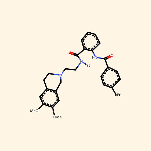 CCCc1ccc(C(=O)Nc2ccccc2C(=O)N(CC)CCN2CCc3cc(OC)c(OC)cc3C2)cc1